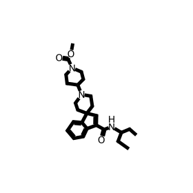 CCC(CC)NC(=O)C1=CC2(CCN(C3CCN(C(=O)OC)CC3)CC2)c2ccccc21